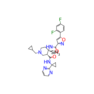 O=C(N[C@@]1([SiH3])CCN(CC2CC2)C[C@@H]1C(=O)NC1(c2ncccn2)CC1)c1cc(-c2ccc(F)cc2F)on1